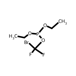 CCOP(OCC)OC(F)(F)Br